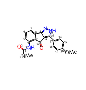 CNC(=O)Nc1cccc2c1C(=O)c1c-2n[nH]c1-c1ccc(OC)cc1